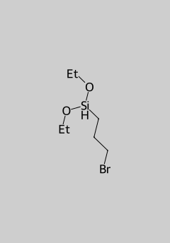 CCO[SiH](CCCBr)OCC